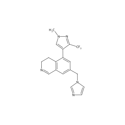 Cn1cc(-c2cc(Cn3ccnc3)cc3c2CCN=C3)c(C(F)(F)F)n1